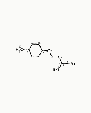 CCCC[C@@H](CCC)O[C]O[C@H]1CC[C@H](C)CC1